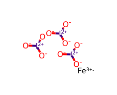 [Fe+3].[O-][I+2]([O-])[O-].[O-][I+2]([O-])[O-].[O-][I+2]([O-])[O-]